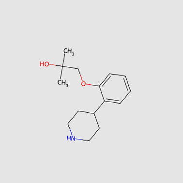 CC(C)(O)COc1ccccc1C1CCNCC1